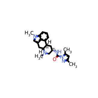 Cc1cc(C)n(C(=O)N[C@@H]2C[C@@H]3c4cccc5c4c(cn5C)C[C@H]3N(C)C2)n1